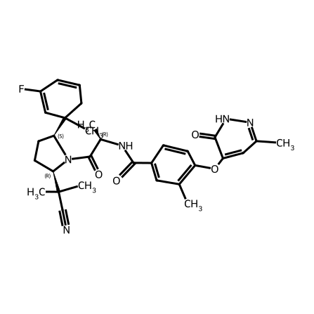 Cc1cc(Oc2ccc(C(=O)N[C@H](C)C(=O)N3[C@H](C4(C)C=C(F)C=CC4)CC[C@@H]3C(C)(C)C#N)cc2C)c(=O)[nH]n1